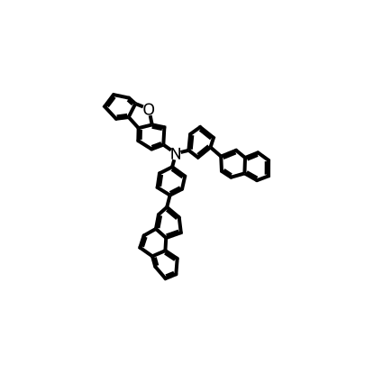 c1cc(-c2ccc3ccccc3c2)cc(N(c2ccc(-c3ccc4c(ccc5ccccc54)c3)cc2)c2ccc3c(c2)oc2ccccc23)c1